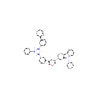 c1ccc(-c2nc(-c3ccc4oc5ccc(-c6ccc7c8ccccc8n(-c8ccccc8)c7c6)cc5c4c3)nc(-c3ccc4sc5ccccc5c4c3)n2)cc1